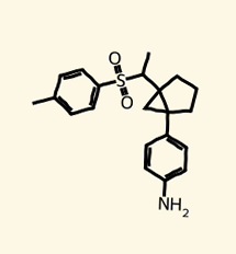 Cc1ccc(S(=O)(=O)C(C)C23CCCC2(c2ccc(N)cc2)C3)cc1